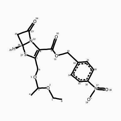 CCOC(C)OCC1=C(C(=O)OCc2ccc([N+](=O)[O-])cc2)N2C(=O)C[C@H]2S1